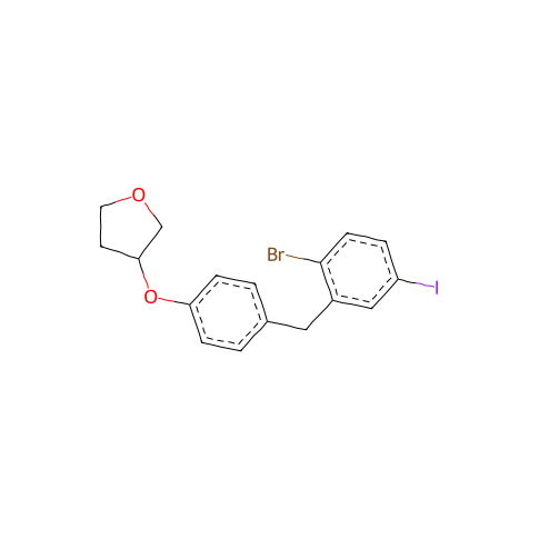 Brc1ccc(I)cc1Cc1ccc(OC2CCOC2)cc1